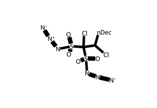 CCCCCCCCCCC(Cl)C(Cl)(S(=O)(=O)N=[N+]=[N-])S(=O)(=O)N=[N+]=[N-]